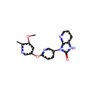 COc1cc(Oc2ccc(-n3c(=O)[nH]c4cccnc43)cn2)cnc1C